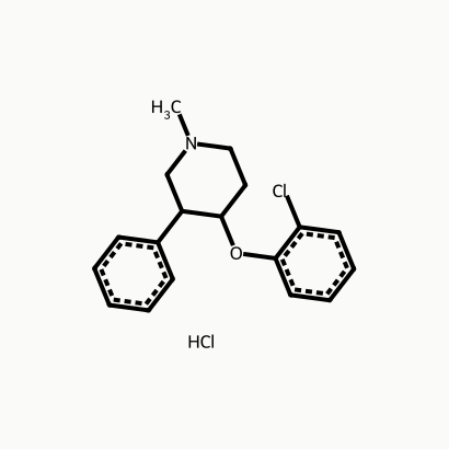 CN1CCC(Oc2ccccc2Cl)C(c2ccccc2)C1.Cl